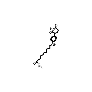 CC(C)(C)OC(=O)CCCCCCCCCNc1ccc(C2CCC(=O)NC2=O)cc1